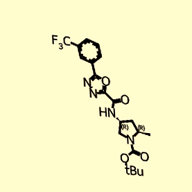 C[C@@H]1C[C@@H](NC(=O)c2nnc(-c3cccc(C(F)(F)F)c3)o2)CN1C(=O)OC(C)(C)C